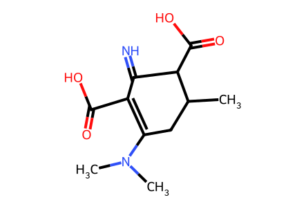 CC1CC(N(C)C)=C(C(=O)O)C(=N)C1C(=O)O